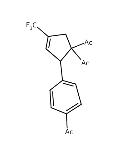 CC(=O)c1ccc(C2C=C(C(F)(F)F)CC2(C(C)=O)C(C)=O)cc1